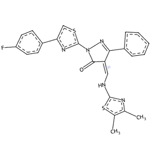 Cc1nc(N/C=C2\C(=O)N(c3nc(-c4ccc(F)cc4)cs3)N=C2c2ccccc2)sc1C